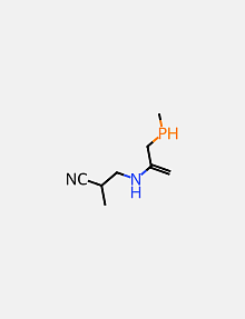 C=C(CPC)NCC(C)C#N